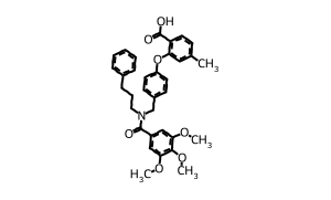 COc1cc(C(=O)N(CCCc2ccccc2)Cc2ccc(Oc3cc(C)ccc3C(=O)O)cc2)cc(OC)c1OC